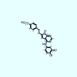 O=C(O)c1ccc(CCc2cc3c(Nc4ccc(F)c(Cl)c4)ncnc3[nH]2)cc1